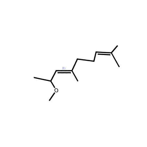 COC(C)/C=C(\C)CCC=C(C)C